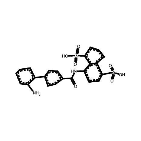 Nc1ccccc1-c1ccc(C(=O)Nc2ccc(S(=O)(=O)O)c3cccc(S(=O)(=O)O)c23)cc1